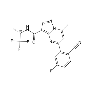 Cc1cc(-c2cc(F)ccc2C#N)nc2c(C(=O)N[C@@H](C)C(F)(F)F)cnn12